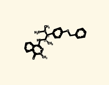 C[C@H](Nc1nn(C)c(=O)c2ccccc12)[C@H](c1ccc(OCc2ccccc2)cc1)N(C)C